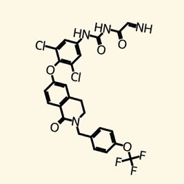 N=CC(=O)NC(=O)Nc1cc(Cl)c(Oc2ccc3c(c2)CCN(Cc2ccc(OC(F)(F)F)cc2)C3=O)c(Cl)c1